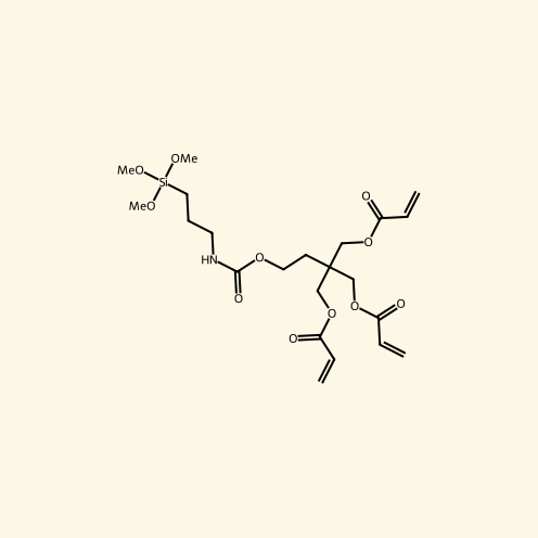 C=CC(=O)OCC(CCOC(=O)NCCC[Si](OC)(OC)OC)(COC(=O)C=C)COC(=O)C=C